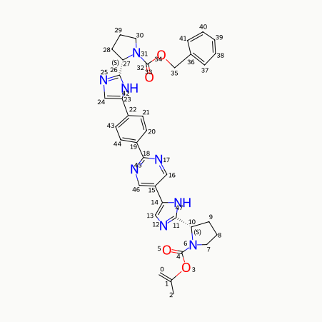 C=C(C)OC(=O)N1CCC[C@H]1c1ncc(-c2cnc(-c3ccc(-c4cnc([C@@H]5CCCN5C(=O)OCc5ccccc5)[nH]4)cc3)nc2)[nH]1